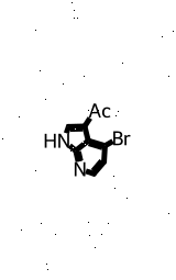 CC(=O)c1c[nH]c2nccc(Br)c12